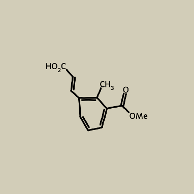 COC(=O)c1cccc(/C=C/C(=O)O)c1C